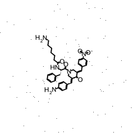 NCCCCCCC(=O)N[C@@H](Cc1ccccc1)C(=O)N1C/C(=C\c2ccc(N)cc2)C(=O)/C(=C/c2ccc([N+](=O)[O-])cc2)C1